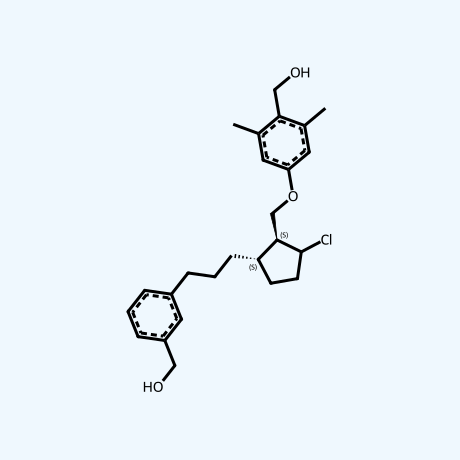 Cc1cc(OC[C@H]2C(Cl)CC[C@@H]2CCCc2cccc(CO)c2)cc(C)c1CO